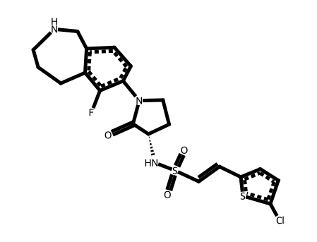 O=C1[C@@H](NS(=O)(=O)C=Cc2ccc(Cl)s2)CCN1c1ccc2c(c1F)CCCNC2